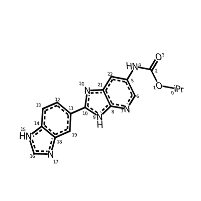 CC(C)OC(=O)Nc1cnc2[nH]c(-c3ccc4[nH]cnc4c3)nc2c1